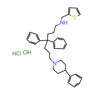 Cl.Cl.c1ccc(C2CCN(CCCC(CCCNCc3cccs3)(c3ccccc3)c3ccccc3)CC2)cc1